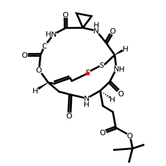 CC(C)(C)OC(=O)CC[C@H]1NC(=O)C[C@H]2/C=C/CCSSC[C@@H](NC1=O)C(=O)NC1(CC1)C(=O)NCC(=O)O2